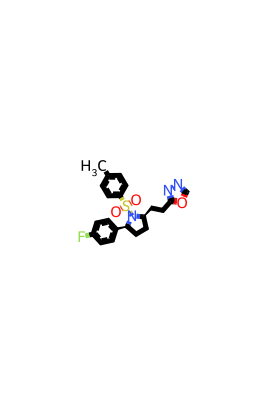 Cc1ccc(S(=O)(=O)N2[C@@H](CCc3nnco3)CC[C@H]2c2ccc(F)cc2)cc1